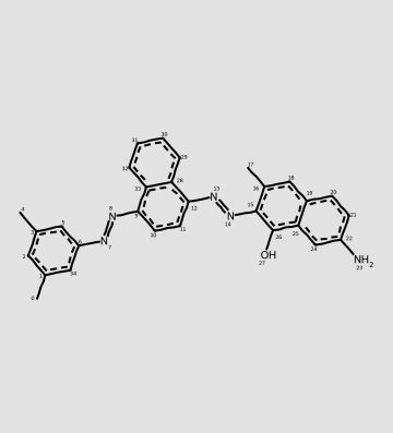 Cc1cc(C)cc(N=Nc2ccc(N=Nc3c(C)cc4ccc(N)cc4c3O)c3ccccc23)c1